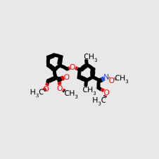 COC=C(C(=O)OC)c1ccccc1COc1cc(C)c(/C(COC)=N/OC)cc1C